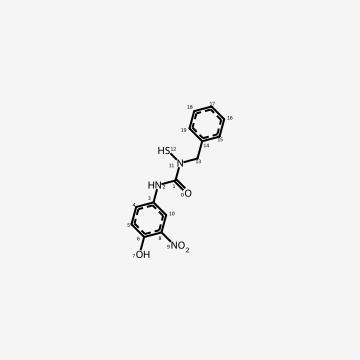 O=C(Nc1ccc(O)c([N+](=O)[O-])c1)N(S)Cc1ccccc1